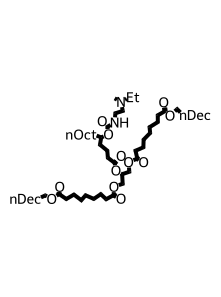 CCCCCCCCCCCOC(=O)CCCCCCCC(=O)OCC(COC(=O)CCCCCCCC(=O)OCCCCCCCCCCC)OC(=O)CCCC(CCCCCCCC)OC(=O)NCCN(C)CC